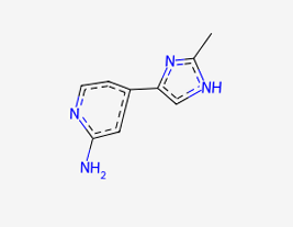 Cc1nc(-c2ccnc(N)c2)c[nH]1